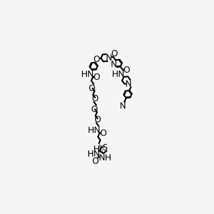 N#Cc1ccc(CN2CCC(NC(=O)c3ccc(C(=O)N4CCC(Oc5ccc(NC(=O)CCOCCOCCOCCOCCNC(=O)CCC[C@@H]6SCC7NC(=O)N[C@@H]76)cc5)CC4)nc3)CC2)cc1